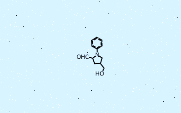 O=CC1CC(CO)CN1c1ccccc1